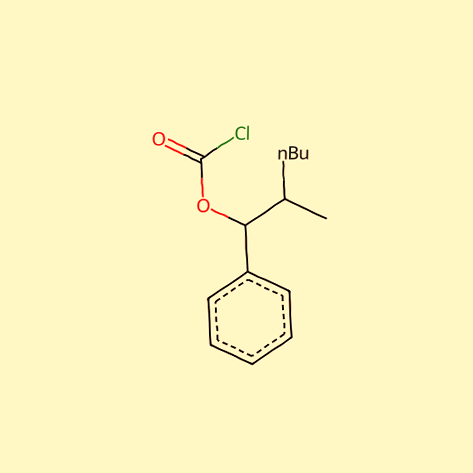 CCCCC(C)C(OC(=O)Cl)c1ccccc1